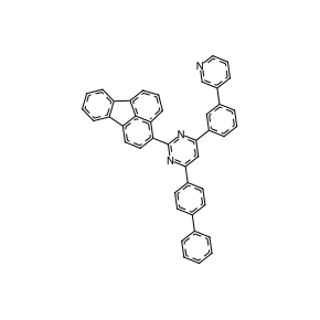 c1ccc(-c2ccc(-c3cc(-c4cccc(-c5cccnc5)c4)nc(-c4ccc5c6c(cccc46)-c4ccccc4-5)n3)cc2)cc1